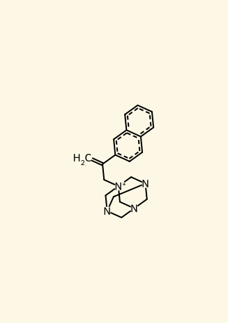 C=C(C[N+]12CN3CN(CN(C3)C1)C2)c1ccc2ccccc2c1